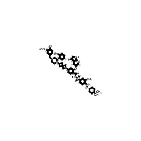 CCc1ccc(CN2CCN(C3CC4(C3)CN(c3ccc(C(=O)NS(=O)(=O)c5ccc(NC[C@H]6CC[C@](C)(O)CC6)c([N+](=O)[O-])c5)c(Oc5cnc6[nH]cc(F)c6c5)c3)C4)[C@H](c3ccccc3C(C)C)C2)cc1OC